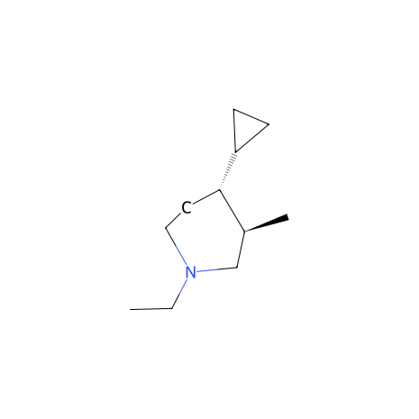 CCN1CC[C@H](C2CC2)[C@@H](C)C1